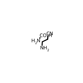 N#CCCN.NC(=O)O